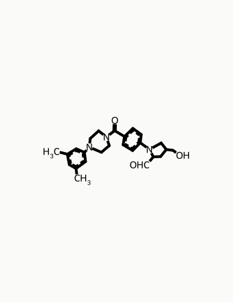 Cc1cc(C)cc(N2CCN(C(=O)c3ccc(N4CC(CO)CC4C=O)cc3)CC2)c1